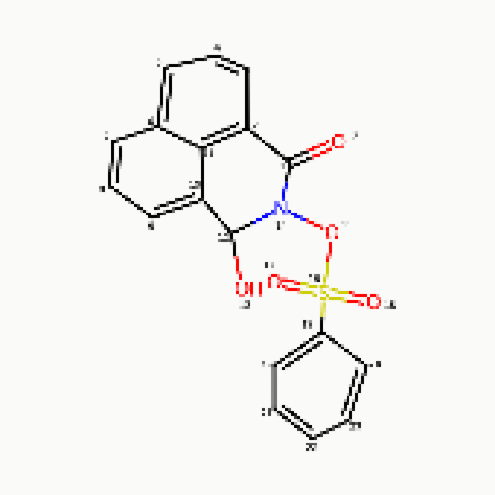 O=C1c2cccc3cccc(c23)C(O)N1OS(=O)(=O)c1ccccc1